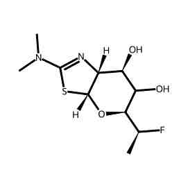 C[C@H](F)[C@H]1O[C@@H]2SC(N(C)C)=N[C@@H]2[C@@H](O)C1O